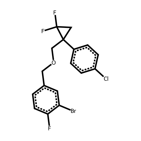 Fc1ccc(COCC2(c3ccc(Cl)cc3)CC2(F)F)cc1Br